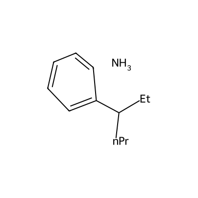 CCCC(CC)c1ccccc1.N